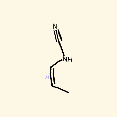 C/C=C\NC#N